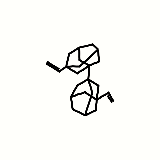 C=CC12CC3CC(C1)CC(C14CC5CC(CC(C=C)(C5)C1)C4)(C3)C2